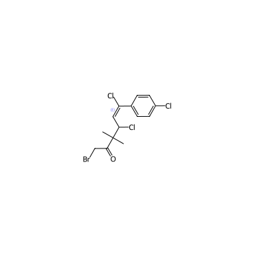 CC(C)(C(=O)CBr)C(Cl)/C=C(/Cl)c1ccc(Cl)cc1